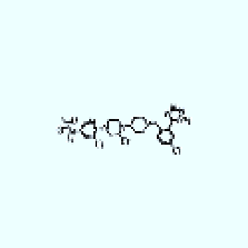 CC[C@H]1CN(c2ncc(NS(C)(=O)=O)cc2Cl)CCN1C1CCN(Cc2ccc(Cl)cc2-c2nnn[nH]2)CC1